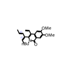 C=Cc1c(C(=C\C)/C=C/C)n(CCCC)c(=O)c2cc(OC)c(OC)cc12